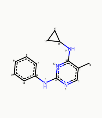 Cc1cnc(Nc2ccccc2)nc1NC1CC1